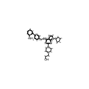 Nc1ccccc1-c1ccc(CNc2nc(N3CCN(CCO)CC3)nc3c2ncn3C2CCCC2)cn1